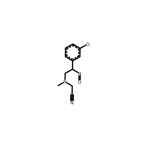 CN(CC#N)CC(N=O)c1cccc(Cl)c1